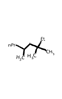 CCCC(C)[CH]C(C)(C)CC